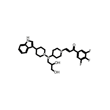 O=C(C=CN1CCC(N(CC(O)CO)N2CCC(c3c[nH]c4ccccc34)CC2)CC1)c1cc(F)c(F)c(F)c1